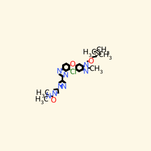 Cc1nc2ccc(Oc3ccc4ncc(-c5cnn(C6CN(C(=O)N(C)C)C6)c5)nc4c3Cl)cc2n1COCC[Si](C)(C)C